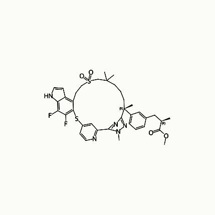 COC(=O)[C@H](C)Cc1cccc([C@@]2(C)CCCC(C)(C)CS(=O)(=O)CCc3c(c(F)c(F)c4[nH]ccc34)Sc3ccnc(c3)-c3nc2nn3C)c1